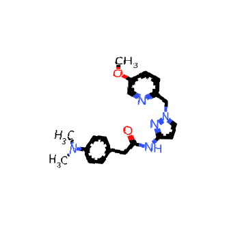 COc1ccc(Cn2ccc(NC(=O)Cc3ccc(N(C)C)cc3)n2)nc1